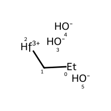 CC[CH2][Hf+3].[OH-].[OH-].[OH-]